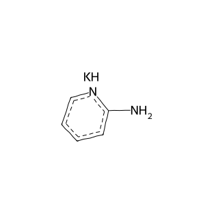 Nc1ccccn1.[KH]